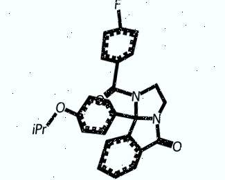 CC(C)Oc1ccc(C23c4ccccc4C(=O)N2CCN3C(=O)c2ccc(F)cc2)cc1